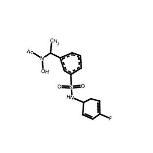 CC(=O)N(O)C(C)c1cccc(S(=O)(=O)NC2C=CC(F)=CC2)c1